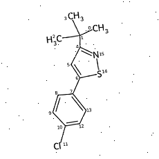 CC(C)(C)c1cc(-c2ccc(Cl)cc2)sn1